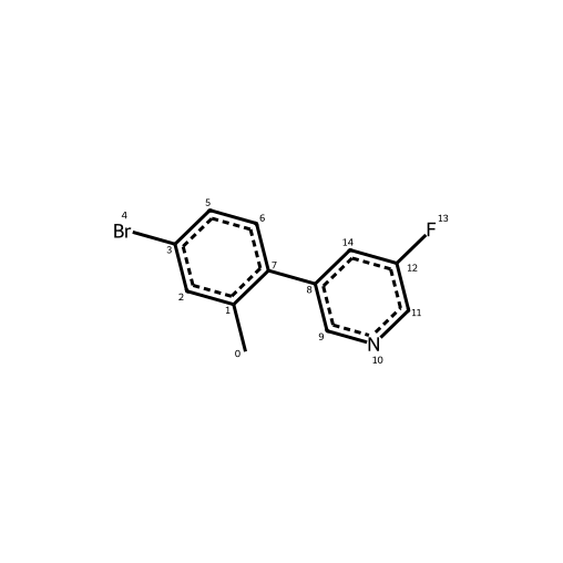 Cc1cc(Br)ccc1-c1cncc(F)c1